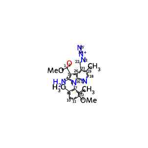 COC(=O)c1c(N)n(-c2c(C)ccc(OC)c2C)c2ncc(C)c(CN=[N+]=[N-])c12